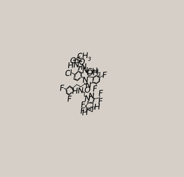 Cn1nc(NS(C)(=O)=O)c2c(Cl)ccc(N3C(C(Cc4cc(F)cc(F)c4)NC(=O)Cn4nc(C(F)F)c5c4C(F)(F)[C@@H]4C[C@H]54)=Nc4c(F)cc(F)cc4C3O)c21